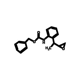 CC(c1ccccc1NC(=O)OCc1ccccc1)C1CO1